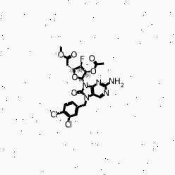 COC(=O)C[C@H]1O[C@@H](n2c(=O)n(Cc3ccc(Cl)c(Cl)c3)c3cnc(N)nc32)[C@H](OC(C)=O)[C@@H]1F